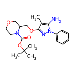 Cc1c(OCC2COCCN2C(=O)OC(C)(C)C)nn(-c2ccccc2)c1N